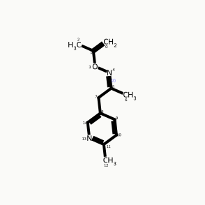 C=C(C)O/N=C(/C)Cc1ccc(C)nc1